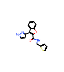 O=C(NCc1cccs1)c1oc2ccccc2c1-c1cc[nH]n1